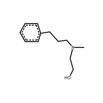 CN(CCO)CCCc1cc[c]cc1